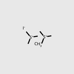 C[S+](C)C.C[S+](C)C.[CH3-].[I-]